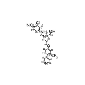 Cc1c(NCN(CCCOc2ccc(-c3ccncc3)c(C(F)(F)F)c2)C(C)(C)CO)ccc(C#N)c1Cl